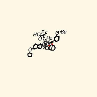 CCCCOc1cccc(C(F)(F)[C@H](NS(=O)(=O)c2ccc3cc(OC4CCCC4)ccc3c2)C(=O)N2C3CCC2CC(N)C3)c1.O=C(O)C(F)(F)F